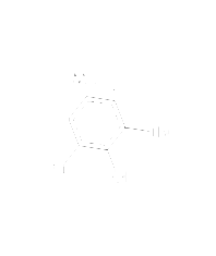 CC(C)(C)c1cccc(C(C)(C)C)c1O.[MgH2]